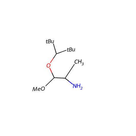 COC(OC(C(C)(C)C)C(C)(C)C)C(C)N